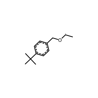 C[CH]OCc1ccc(C(C)(C)C)cc1